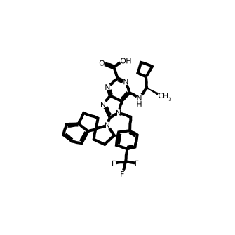 C[C@@H](Nc1nc(C(=O)O)nc2nc(N3CCCC34CCc3ccccc34)n(Cc3ccc(C(F)(F)F)cc3)c12)C1CCC1